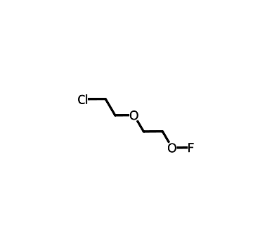 FOCCOCCCl